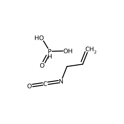 C=CCN=C=O.O=[PH](O)O